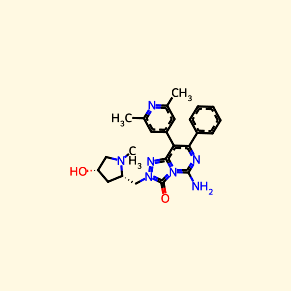 Cc1cc(-c2c(-c3ccccc3)nc(N)n3c(=O)n(C[C@@H]4C[C@H](O)CN4C)nc23)cc(C)n1